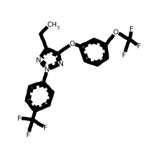 CCc1nn(-c2ccc(C(F)(F)F)cc2)nc1Oc1cccc(OC(F)(F)F)c1